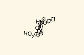 O=C(O)OC1OCC(n2ccc(NC(=O)Oc3ccc(Cl)cc3)nc2=O)O1